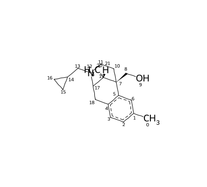 Cc1ccc2c(c1)[C@@]1(CO)CCN(CC3CC3)C(C2)[C@@H]1C